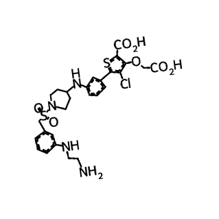 NCCNc1cccc(CS(=O)(=O)N2CCC(Nc3cccc(-c4sc(C(=O)O)c(OCC(=O)O)c4Cl)c3)CC2)c1